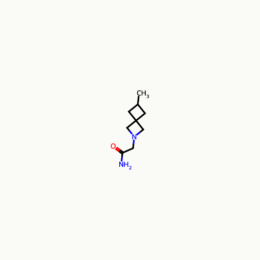 CC1CC2(C1)CN(CC(N)=O)C2